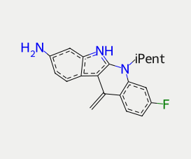 C=C1c2ccc(F)cc2N(C(C)CCC)c2[nH]c3cc(N)ccc3c21